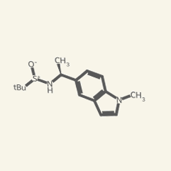 C[C@H](N[S+]([O-])C(C)(C)C)c1ccc2c(ccn2C)c1